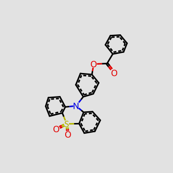 O=C(Oc1ccc(N2c3ccccc3S(=O)(=O)c3ccccc32)cc1)c1ccccc1